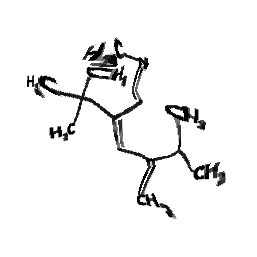 C=C(/C=C(\C=N/C)C(C)(C)C)C(C)C